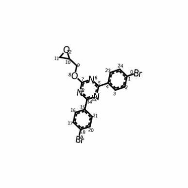 Brc1ccc(-c2nc(OCC3CO3)nc(-c3ccc(Br)cc3)n2)cc1